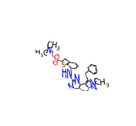 CN(C)CCOC(=O)c1cc2cccc(Nc3ncc4c(n3)-c3c(nn(C)c3Cc3ccccc3)CC4)c2s1